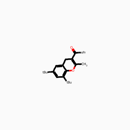 CCCC(=O)C1=C(C)Oc2c(cc(C(C)(C)C)cc2C(C)(C)C)C1